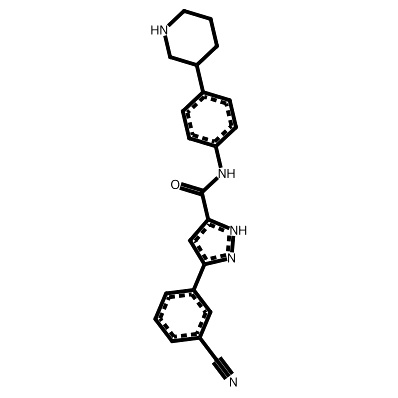 N#Cc1cccc(-c2cc(C(=O)Nc3ccc(C4CCCNC4)cc3)[nH]n2)c1